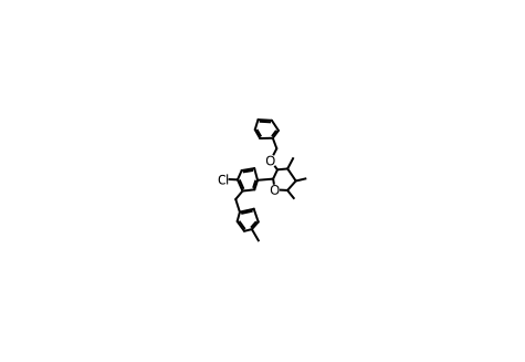 Cc1ccc(Cc2cc(C3OC(C)C(C)C(C)C3OCc3ccccc3)ccc2Cl)cc1